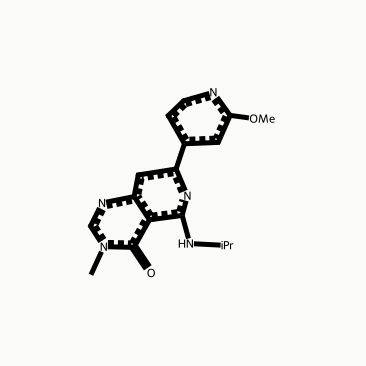 COc1cc(-c2cc3ncn(C)c(=O)c3c(NC(C)C)n2)ccn1